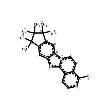 CC(C)(C)c1nccc2c1ccn1c3cc4c(cc3nc21)C(C)(C)C(C)(C)C4(C)C